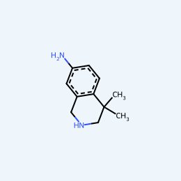 CC1(C)CNCc2cc(N)ccc21